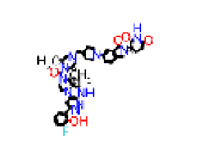 C[C@@H]1CN(CC2CCN(c3ccc4c(c3)C(=O)N([C@H]3CCC(=O)NC3=O)C4)CC2)C[C@H](C)N1C(=O)N1CCN2c3cc(-c4cccc(F)c4O)nnc3NC[C@@H]2C1